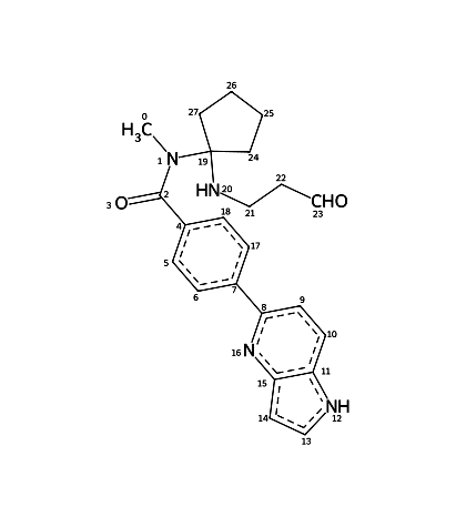 CN(C(=O)c1ccc(-c2ccc3[nH]ccc3n2)cc1)C1(NCCC=O)CCCC1